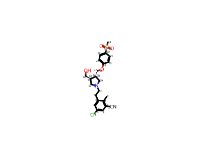 Cc1c(C#N)cc(Cl)cc1CCN1C[C@@H](CO)[C@H](COc2ccc(S(C)(=O)=O)cc2)C1